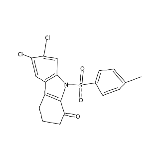 Cc1ccc(S(=O)(=O)n2c3c(c4cc(Cl)c(Cl)cc42)CCCC3=O)cc1